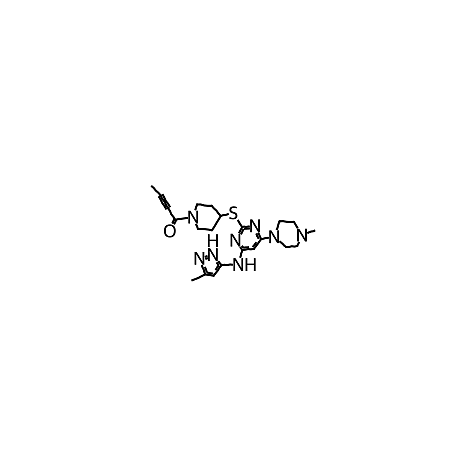 CC#CC(=O)N1CCC(Sc2nc(Nc3cc(C)n[nH]3)cc(N3CCN(C)CC3)n2)CC1